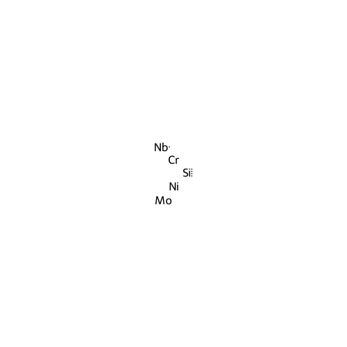 [Cr].[Mo].[Nb].[Ni].[Si]